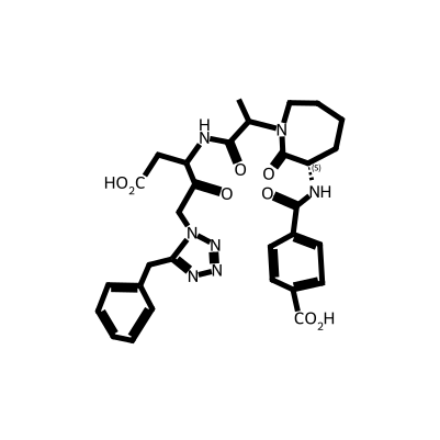 CC(C(=O)NC(CC(=O)O)C(=O)Cn1nnnc1Cc1ccccc1)N1CCCC[C@H](NC(=O)c2ccc(C(=O)O)cc2)C1=O